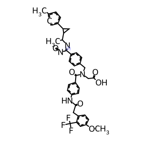 COc1ccc(CC(=O)Nc2ccc(C(=O)N(CC(=O)O)Cc3ccc(/C(N=O)=N/C(C)C4CC4c4ccc(C)cc4)cc3)cc2)c(C(F)(F)F)c1